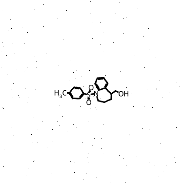 Cc1ccc(S(=O)(=O)N2CCCC(CO)c3ccccc32)cc1